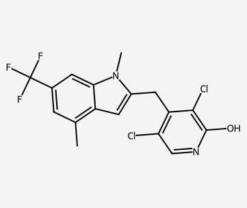 Cc1cc(C(F)(F)F)cc2c1cc(Cc1c(Cl)cnc(O)c1Cl)n2C